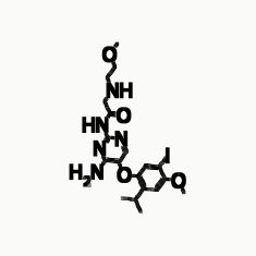 COCCNCC(=O)Nc1ncc(Oc2cc(I)c(OC)cc2C(C)C)c(N)n1